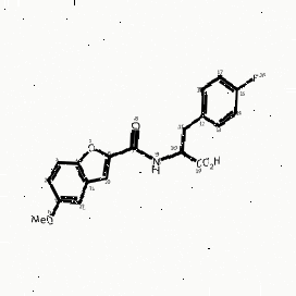 COc1ccc2oc(C(=O)NC(Cc3ccc(F)cc3)C(=O)O)cc2c1